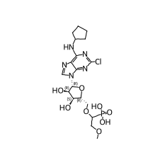 COCC(OC[C@H]1O[C@@H](n2cnc3c(NC4CCCC4)nc(Cl)nc32)[C@H](O)[C@@H]1O)P(=O)(O)O